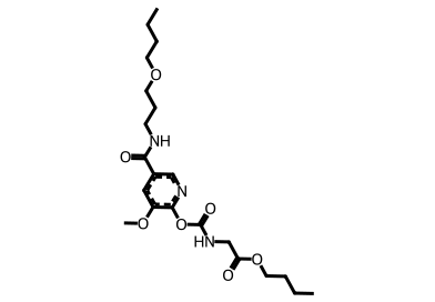 CCCCOCCCNC(=O)c1cnc(OC(=O)NCC(=O)OCCCC)c(OC)c1